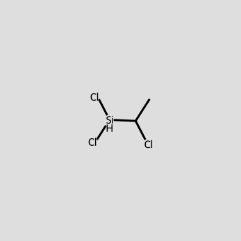 CC(Cl)[SiH](Cl)Cl